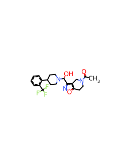 CC(=O)N1CCc2onc(C(O)N3CCC(c4ccccc4C(F)(F)F)CC3)c2C1